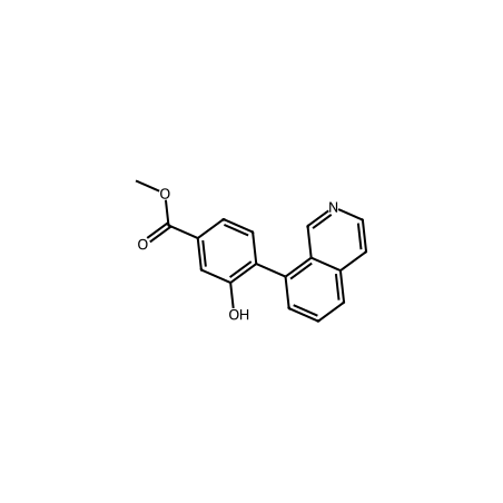 COC(=O)c1ccc(-c2cccc3ccncc23)c(O)c1